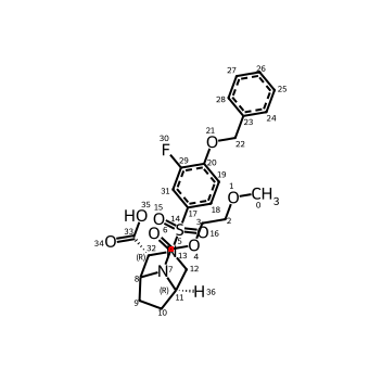 COCCOC(=O)N1C2CC[C@@H]1CN(S(=O)(=O)c1ccc(OCc3ccccc3)c(F)c1)[C@H]2C(=O)O